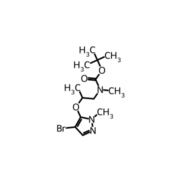 CC(CN(C)C(=O)OC(C)(C)C)Oc1c(Br)cnn1C